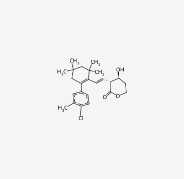 Cc1cc(C2=C(/C=C/[C@H]3C(=O)OCC[C@@H]3O)C(C)(C)CC(C)(C)C2)ccc1Cl